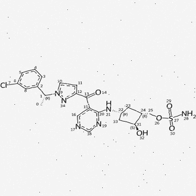 C[C@H](c1cccc(Cl)c1)n1ccc(C(=O)c2cncnc2N[C@@H]2C[C@H](COS(N)(=O)=O)[C@@H](O)C2)n1